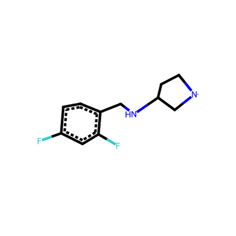 Fc1ccc(CNC2CC[N]C2)c(F)c1